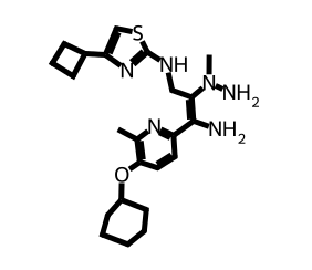 Cc1nc(/C(N)=C(\CNc2nc(C3CCC3)cs2)N(C)N)ccc1OC1CCCCC1